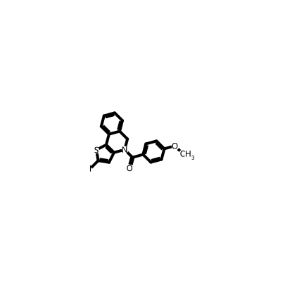 COc1ccc(C(=O)N2Cc3ccccc3-c3sc(I)cc32)cc1